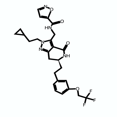 O=C(NCc1c2c(nn1CCC1CC1)C[C@H](CCc1cccc(OCC(F)(F)F)c1)NC2=O)c1ccno1